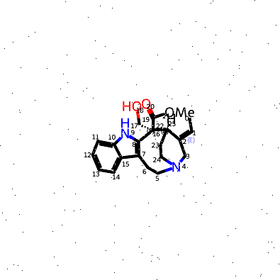 C/C=C1/CN2CCc3c([nH]c4ccccc34)[C@@](CO)(C(=O)OC)[C@@H]1CC2